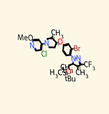 COc1cc(N2CC[C@@H](Oc3ccc(N4N=C(C(F)(F)F)[C@@H](C)C4CO[Si](C)(C)C(C)(C)C)c(Br)c3)[C@H](C)C2)c(Cl)cn1